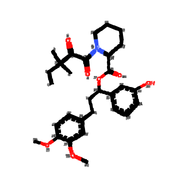 CCC(C)(C)C(=O)C(=O)N1CCCCC1C(=O)OC(CCc1ccc(OC)c(OC)c1)c1cccc(O)c1